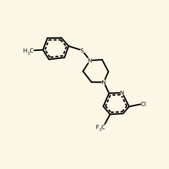 Cc1ccc(SN2CCN(c3cc(C(F)(F)F)cc(Cl)n3)CC2)cc1